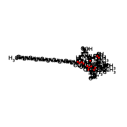 CC[C@H](C)[C@H](NC(=O)[C@H](C(C)C)N(C)C)C(=O)N(C)[C@H](C[C@@H](OC(C)=O)c1nc(C(=O)N[C@H](CCC(=O)O)Cc2ccc(O)c(NC(=O)[C@H](C)NC(=O)[C@@H](NC(=O)[C@H](CCCCNC(=O)COCCOCCOCCOCCOCCOCCOCCOCCOCCOC)NC(=O)CCCN3C(=O)C=CC3=O)C(C)C)c2)cs1)C(C)C